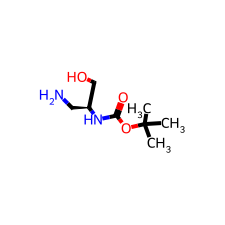 CC(C)(C)OC(=O)N[C@@H](CN)CO